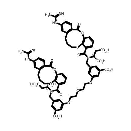 N=C(N)Nc1ccc2c(c1)CCCOc1c(cccc1C(=O)N(Cc1cc(OCCOCCOc3cc(CN(C(=O)c4cccc5c4OCCCc4cc(NC(=N)N)ccc4C(=O)O5)[C@@H](CC(=O)O)C(=O)O)cc(C(=O)O)c3)cc(C(=O)O)c1)[C@@H](CC(=O)O)C(=O)O)OC2=O